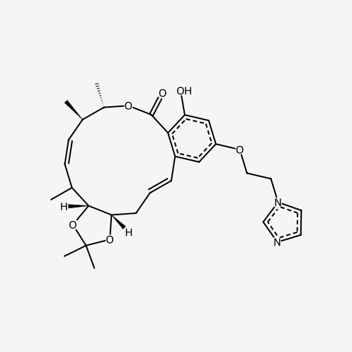 CC1/C=C\[C@@H](C)[C@H](C)OC(=O)c2c(O)cc(OCCn3ccnc3)cc2/C=C/C[C@@H]2OC(C)(C)O[C@H]12